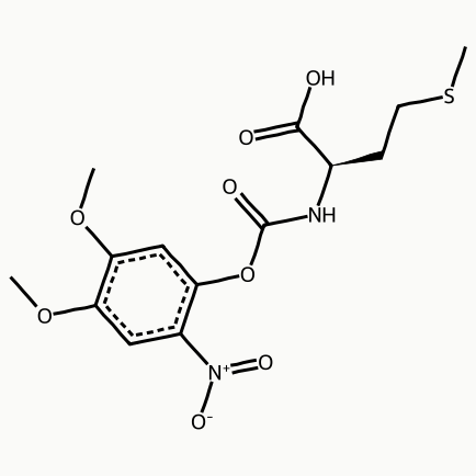 COc1cc(OC(=O)N[C@H](CCSC)C(=O)O)c([N+](=O)[O-])cc1OC